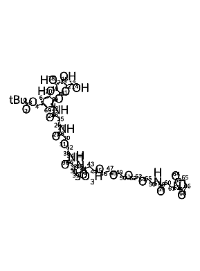 CC(C)(C)C(=O)OCc1ccc(O[C@@H]2O[C@H](CO)[C@H](O)[C@H](O)[C@H]2O)c(NC(=O)CCNC(=O)COCCNC(=O)[C@H](CS(=O)(=O)O)NC(=O)CCOCCOCCOCCOCCNC(=O)CCN2C(=O)C=CC2=O)c1